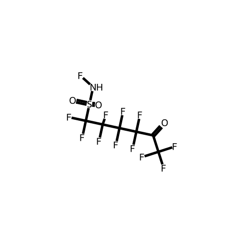 O=C(C(F)(F)F)C(F)(F)C(F)(F)C(F)(F)C(F)(F)S(=O)(=O)NF